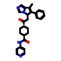 CC1=C(c2ccccc2)C(CC(=O)[C@H]2CC[C@H](C(=O)Nc3ccncc3)CC2)n2cncc21